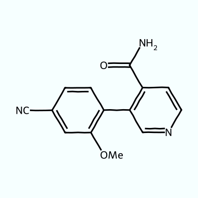 COc1cc(C#N)ccc1-c1cnccc1C(N)=O